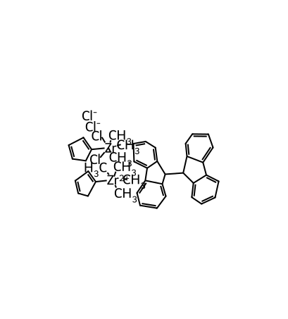 [CH3][Zr+2]([CH3])([CH3])([CH3])[C]1=CC=CC1.[CH3][Zr]([CH3])([CH3])([Cl])([Cl])[C]1=CC=CC1.[Cl-].[Cl-].c1ccc2c(c1)-c1ccccc1C2C1c2ccccc2-c2ccccc21